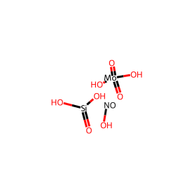 O=NO.O=[Si](O)O.[O]=[Mo](=[O])([OH])[OH]